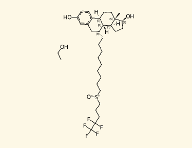 CCO.C[C@]12CC[C@@H]3c4ccc(O)cc4C[C@@H](CCCCCCCCC[S+]([O-])CCCC(F)(F)C(F)(F)F)[C@H]3[C@@H]1CC[C@@H]2O